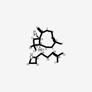 C=C1CC/C=C(\C)CC[C@@H]2[C@@H]1CC2(C)C.CC(C)=CCCC1CCO1